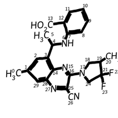 Cc1cc(C(C)Nc2ccccc2C(=O)O)c2nc(N3CC(C)C(F)(F)C3)c(C#N)nc2c1